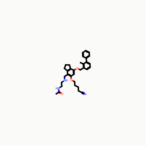 CC(=O)NCCNCc1c(OCCCCC#N)cc(OCc2cccc(-c3ccccc3)c2C)c2c1CCC2